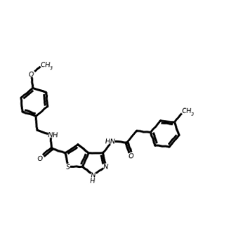 COc1ccc(CNC(=O)c2cc3c(NC(=O)Cc4cccc(C)c4)n[nH]c3s2)cc1